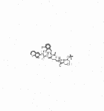 CC(=O)N(NCc1cccc(F)c1Cl)[C@@H](CCCNC(=O)[C@H](CO)NC(=O)OC(C)(C)C)COC(=O)Nc1cc2cccnc2cn1